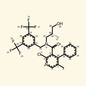 Cc1cnc(Cl)c(C(=O)N(Cc2cc(C(F)(F)F)cc(C(F)(F)F)c2)C[C@@H](C)CO)c1-c1ccccc1